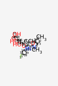 Cc1ccc(CN(C)C(=O)c2nn(-c3ccc(F)cc3)c(OC[C@@H](O)C[C@@H](O)CC(=O)O)c2C(C)C)cc1